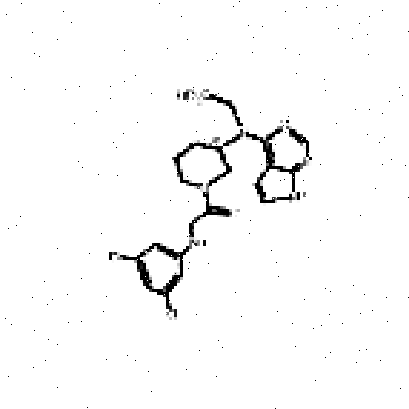 O=C(O)CN(c1ncnc2[nH]ccc12)[C@@H]1CCCN(C(=O)CNc2cc(Cl)cc(Cl)c2)C1